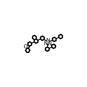 c1ccc(-c2ccc(-c3nc(-c4cccc(-c5ccc(-c6ccc7oc8ccccc8c7c6)c6ccccc56)c4)nc(-c4ccccc4-c4ccccc4)n3)cc2)cc1